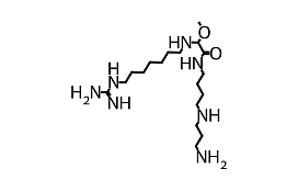 COC(NCCCCCCCNC(=N)N)C(=O)NCCCCNCCCN